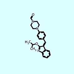 CC(C)OC1=Nc2ccccc2/C1=C/c1ccc(N2CCN(C=O)CC2)cc1